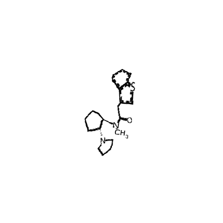 CN(C(=O)Cc1csc2ccccc12)[C@@H]1CCCC[C@H]1N1CCCC1